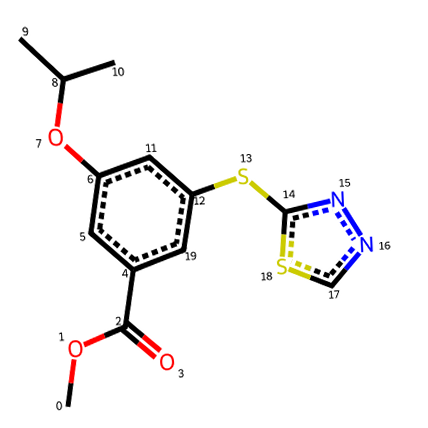 COC(=O)c1cc(OC(C)C)cc(Sc2nncs2)c1